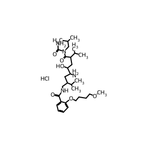 COCCCCOc1ccccc1C(=O)NCC(CC(N)C(O)CC(C(=O)N(CC(C)C)C(N)=O)C(C)C)C(C)C.Cl